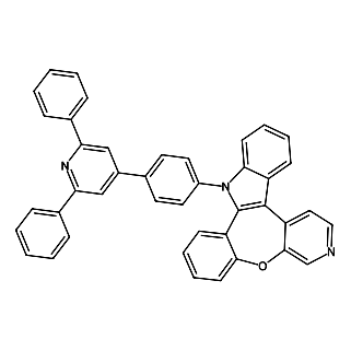 c1ccc(-c2cc(-c3ccc(-n4c5c(c6ccccc64)-c4ccncc4Oc4ccccc4-5)cc3)cc(-c3ccccc3)n2)cc1